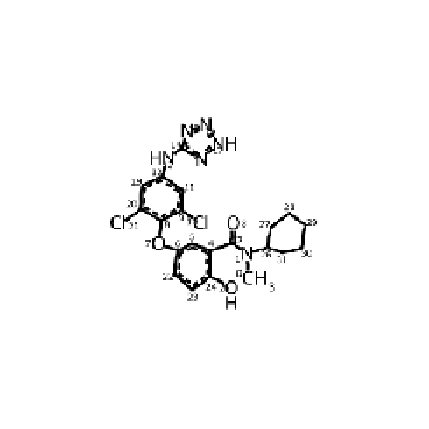 CN(C(=O)c1cc(Oc2c(Cl)cc(Nc3nn[nH]n3)cc2Cl)ccc1O)C1CCCCC1